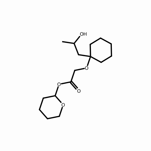 CC(O)CC1(OCC(=O)OC2CCCCO2)CCCCC1